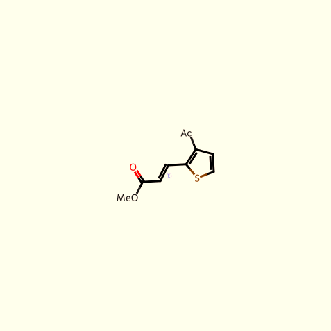 COC(=O)/C=C/c1sccc1C(C)=O